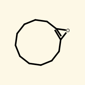 C1CCCCCC2=C(CCCC1)O2